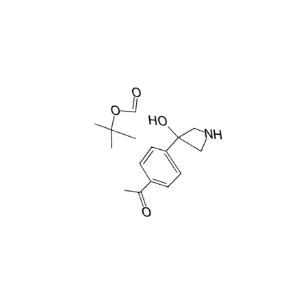 CC(=O)c1ccc(C2(O)CNC2)cc1.CC(C)(C)OC=O